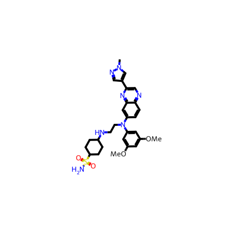 COc1cc(OC)cc(N(CCNC2CCC(S(N)(=O)=O)CC2)c2ccc3ncc(-c4cnn(C)c4)nc3c2)c1